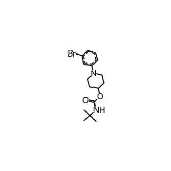 CC(C)(C)NC(=O)OC1CCN(c2cccc(Br)c2)CC1